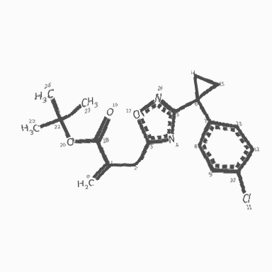 C=C(Cc1nc(C2(c3ccc(Cl)cc3)CC2)no1)C(=O)OC(C)(C)C